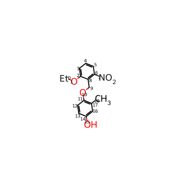 CCOc1cccc([N+](=O)[O-])c1COc1ccc(O)cc1C